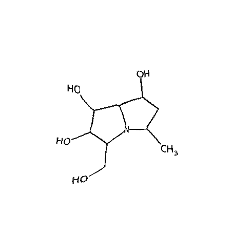 CC1CC(O)C2C(O)C(O)C(CO)N12